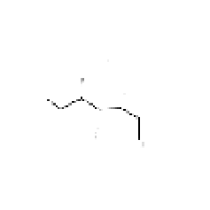 N[C@@H](C=O)[C@@H](O)[C@H](O)[C@H](O)CO.[KH]